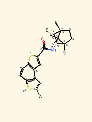 CCc1cc2c(ccc3sc(C(=O)N[C@H]4[C@H]5CC[C@@](C)([C@H]4C)C5(C)C)cc32)s1